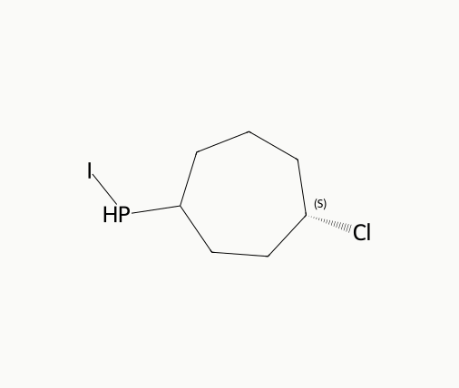 Cl[C@H]1CCCC(PI)CC1